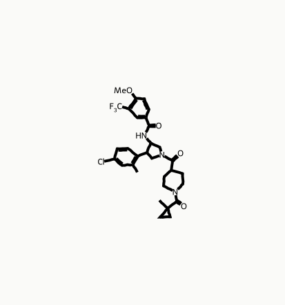 COc1ccc(C(=O)NC2CN(C(=O)C3CCN(C(=O)C4(C)CC4)CC3)CC2c2ccc(Cl)cc2C)cc1C(F)(F)F